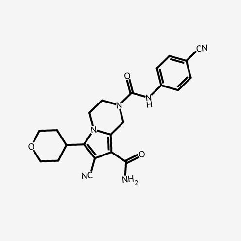 N#Cc1ccc(NC(=O)N2CCn3c(c(C(N)=O)c(C#N)c3C3CCOCC3)C2)cc1